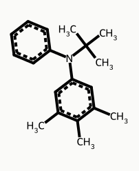 Cc1cc(N(c2ccccc2)C(C)(C)C)cc(C)c1C